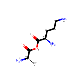 CC(C)[C@H](N)C(=O)OC(=O)[C@H](N)CCCN